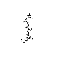 CC(C)=C(C)C(O)CC(C)(C)NCCCNC(=O)CCC(C)(C)NCCO